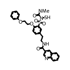 CNC(=O)N(S)S(=O)(=O)c1cc(CCNC(=O)c2cnc3ccccc3c2)ccc1OCCOc1ccccc1